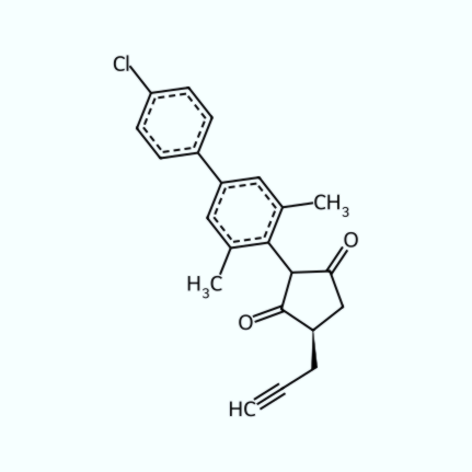 C#CC[C@@H]1CC(=O)C(c2c(C)cc(-c3ccc(Cl)cc3)cc2C)C1=O